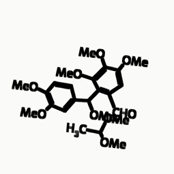 COC(C)OC.COc1ccc(C(OC)c2c(C=O)cc(OC)c(OC)c2OC)cc1OC